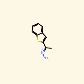 C/C(=N\N)c1cc2ccccc2s1